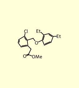 CCc1ccc(OCc2c(Cl)cccc2CC(=O)OC)c(CC)c1